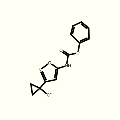 O=C(Nc1cc(C2(C(F)(F)F)CC2)no1)Oc1ccccc1